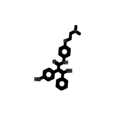 CN(C)CCOc1ccc(NC(=O)C(=C(O)c2ccccc2)c2ccc(O)cc2)cc1